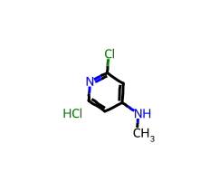 CNc1ccnc(Cl)c1.Cl